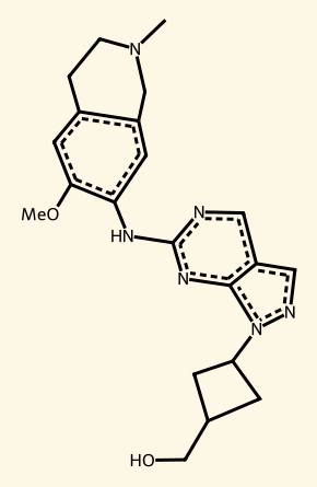 COc1cc2c(cc1Nc1ncc3cnn(C4CC(CO)C4)c3n1)CN(C)CC2